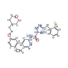 Cc1ccc(OCCC2CCOCC2)cc1-c1ccnc(NC(=O)c2nnc(Cc3ccccc3F)[nH]2)c1